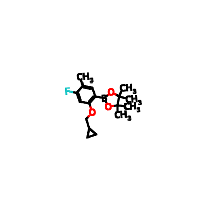 Cc1cc(B2OC(C)(C)C(C)(C)O2)c(OCC2CC2)cc1F